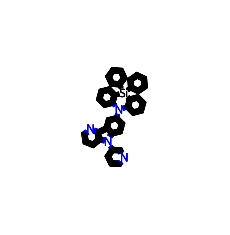 c1ccc([Si]2(c3ccccc3)c3ccccc3N(c3ccc4c(c3)c3ncccc3n4-c3cccnc3)c3ccccc32)cc1